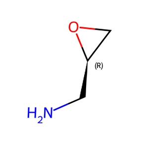 NC[C@@H]1CO1